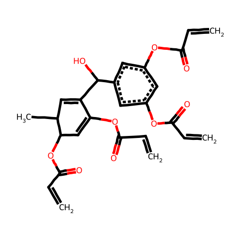 C=CC(=O)OC1=CC(OC(=O)C=C)C(C)C=C1C(O)c1cc(OC(=O)C=C)cc(OC(=O)C=C)c1